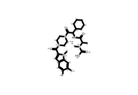 CC(C(=O)NC(C(=O)N1CCN(C(=O)c2cc3cc(F)c(F)cc3n2C)C[C@H]1C)C1CCCCC1)N(C)C(=O)O